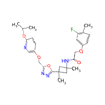 Cc1ccc(OCC(=O)NC2(C)CC(C)(c3nnc(COc4ccc(OC(C)C)nc4)o3)C2)cc1F